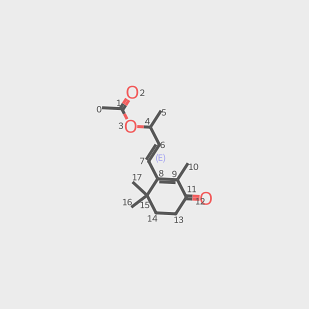 CC(=O)OC(C)/C=C/C1=C(C)C(=O)CCC1(C)C